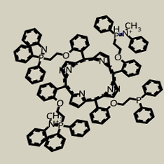 C[N+](c1ccccc1)=P(CCOc1ccccc1-c1c2nc(c(-c3ccccc3OCCP(c3ccccc3)c3ccccc3)c3ccc([nH]3)c(-c3ccccc3OCC/[PH](c3ccccc3)=[N+](/C)c3ccccc3)c3nc(c(-c4ccccc4OCCP(=Nc4ccccc4)(c4ccccc4)c4ccccc4)c4ccc1[nH]4)C=C3)C=C2)(c1ccccc1)c1ccccc1